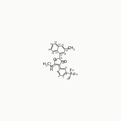 CNC1=C(c2cccc(C(F)(F)F)c2)C(=O)C(c2cc(C)cc3ccccc23)O1